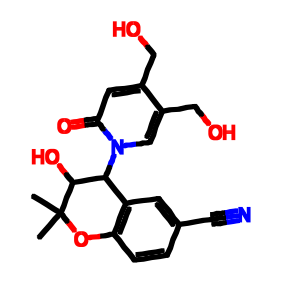 CC1(C)Oc2ccc(C#N)cc2C(n2cc(CO)c(CO)cc2=O)C1O